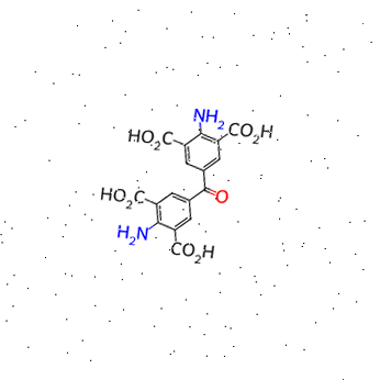 Nc1c(C(=O)O)cc(C(=O)c2cc(C(=O)O)c(N)c(C(=O)O)c2)cc1C(=O)O